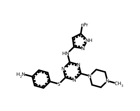 CCCc1cc(Nc2nc(Sc3ccc(N)cc3)nc(N3CCN(C)CC3)n2)n[nH]1